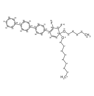 CCCCCCCCCOC1(OCCCCC)C=CC(c2ccc(-c3ccc(-c4ccccc4)cc3)cc2)=C(F)C1F